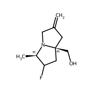 C=C1CN2[C@H](C)C(F)C[C@@]2(CO)C1